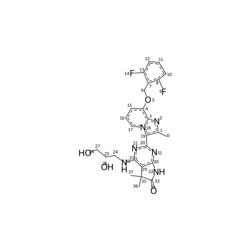 Cc1nc2c(OCc3c(F)cccc3F)cccn2c1-c1nc(NC[C@H](O)CO)c2c(n1)NC(=O)C2(C)C